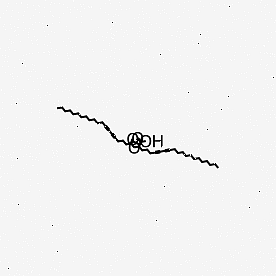 CCCCCCCCCCCCC#CC#CCCCC(=O)OC(CCCC#CC#CCCCCCCCCCCCC)C(=O)O